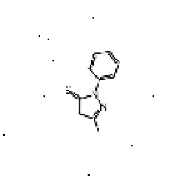 CC1=NN(c2ccccc2)C(=S)C1